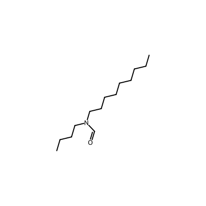 CCCCCCCCCN(C=O)CCCC